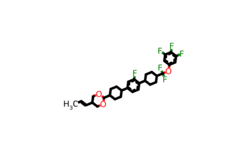 C/C=C/C1COC(C2CCC(c3ccc(C4CCC(C(F)(F)Oc5cc(F)c(F)c(F)c5)CC4)c(F)c3)CC2)OC1